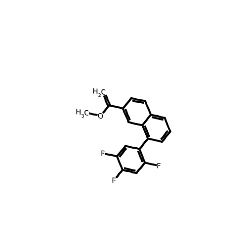 C=C(OC)c1ccc2cccc(-c3cc(F)c(F)cc3F)c2c1